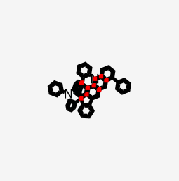 c1ccc(-c2cccc(N(c3ccc4c(c3)C3(c5ccccc5-4)c4ccccc4N(c4ccccc4)c4ccccc43)c3ccccc3-c3ccccc3-c3ccccc3)c2)cc1